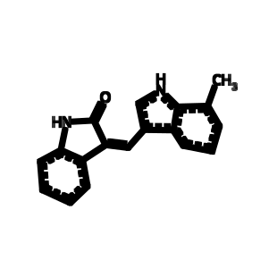 Cc1cccc2c(C=C3C(=O)Nc4ccccc43)c[nH]c12